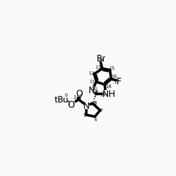 CC(C)(C)OC(=O)N1CCC[C@H]1c1nc2cc(Br)cc(F)c2[nH]1